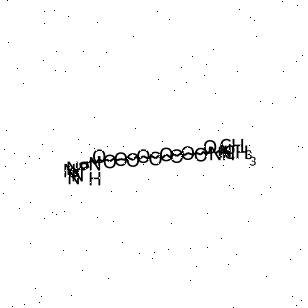 CN(C)CCNC(=O)CCOCCOCCOCCOCCOCCOCCOCCOCCOCCC(=O)NCc1ccc(-c2nncnn2)cc1